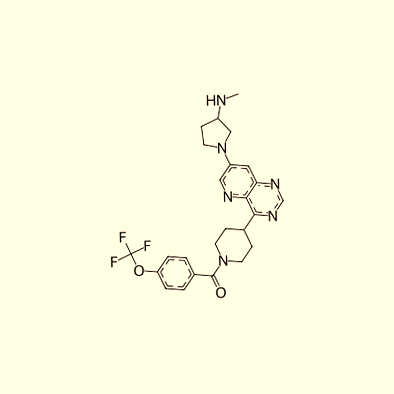 CNC1CCN(c2cnc3c(C4CCN(C(=O)c5ccc(OC(F)(F)F)cc5)CC4)ncnc3c2)C1